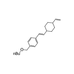 C=CC1CCC(C=Cc2ccc(COCCCC)cc2)CC1